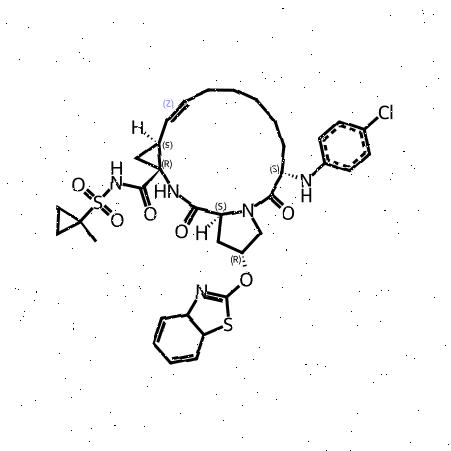 CC1(S(=O)(=O)NC(=O)[C@@]23C[C@H]2/C=C\CCCCC[C@H](Nc2ccc(Cl)cc2)C(=O)N2C[C@H](OC4=NC5C=CC=CC5S4)C[C@H]2C(=O)N3)CC1